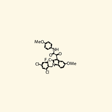 COc1ccc(NC(=O)C(=O)c2c(C(F)(F)F)n(Cc3ccc(Cl)cc3Cl)c3ccc(OC)cc23)cc1